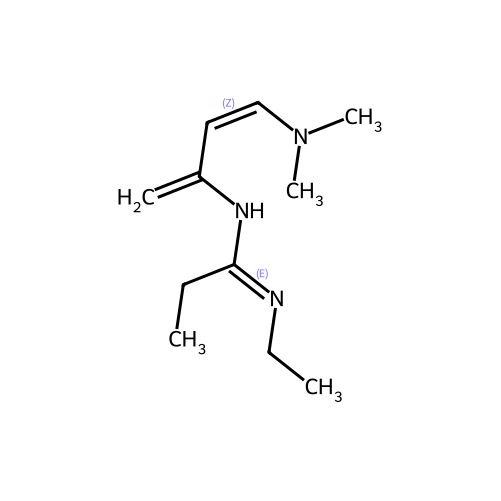 C=C(/C=C\N(C)C)N/C(CC)=N/CC